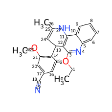 CCOc1nc2ccccc2c2c1C(c1ccc(C#N)cc1OC)C=C(C)N2